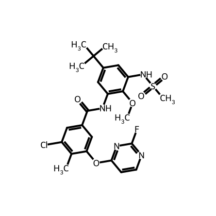 COc1c(NC(=O)c2cc(Cl)c(C)c(Oc3ccnc(F)n3)c2)cc(C(C)(C)C)cc1NS(C)(=O)=O